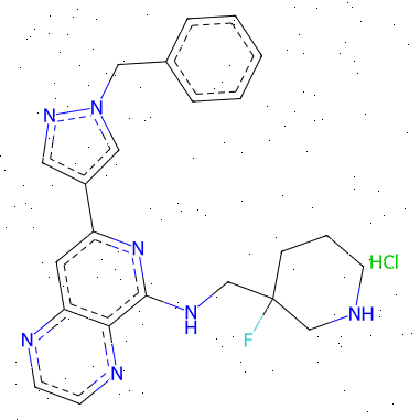 Cl.FC1(CNc2nc(-c3cnn(Cc4ccccc4)c3)cc3nccnc23)CCCNC1